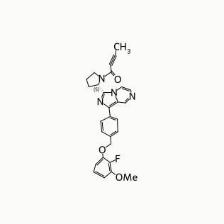 CC#CC(=O)N1CCC[C@H]1c1nc(-c2ccc(COc3cccc(OC)c3F)cc2)c2cnccn12